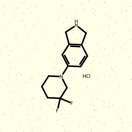 Cl.FC1(F)CCCN(c2ccc3c(c2)CNC3)C1